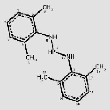 Cc1cccc(C)c1NPNc1c(C)cccc1C